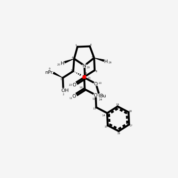 CCC[C@H](O)[C@@H]1[C@@H]2CC[C@H](CN1C(=O)OCc1ccccc1)N2C(=O)OC(C)(C)C